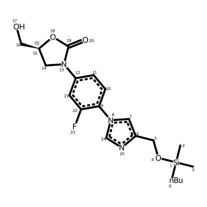 CCCC[Si](C)(C)OCc1cn(-c2ccc(N3C[C@@H](CO)OC3=O)cc2F)cn1